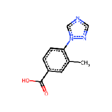 Cc1cc(C(=O)O)ccc1-n1cncn1